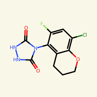 O=c1[nH][nH]c(=O)n1-c1c(F)cc(Cl)c2c1CCCO2